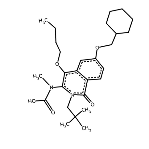 CCCCOc1c(N(C)C(=O)O)n(CC(C)(C)C)c(=O)c2ccc(OCC3CCCCC3)cc12